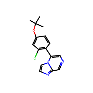 CC(C)(C)Oc1ccc(-c2cncc3nccn23)c(Cl)c1